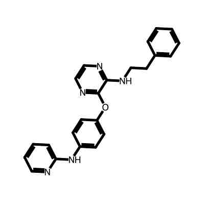 c1ccc(CCNc2nccnc2Oc2ccc(Nc3ccccn3)cc2)cc1